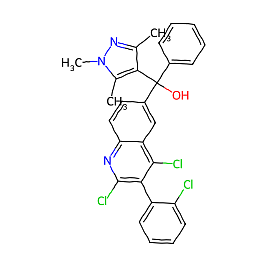 Cc1nn(C)c(C)c1C(O)(c1ccccc1)c1ccc2nc(Cl)c(-c3ccccc3Cl)c(Cl)c2c1